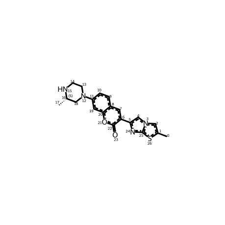 Cc1cn2cc(-c3cc4ccc(N5CCN[C@@H](C)C5)cc4oc3=O)nc2s1